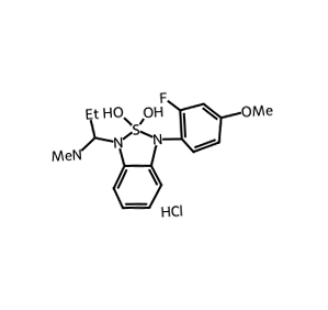 CCC(NC)N1c2ccccc2N(c2ccc(OC)cc2F)S1(O)O.Cl